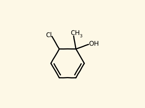 CC1(O)C=CC=CC1Cl